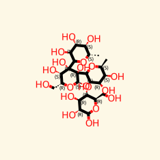 C[C@@H]1OC([C@]2(O)[C@H](O[C@H]3[C@H](O)[C@@H](O)C(O)O[C@@H]3CO)O[C@H](CO)[C@H](O)[C@@]2(O)C2O[C@@H](C)[C@@H](O)[C@@H](O)[C@@H]2O)[C@@H](O)[C@H](O)[C@@H]1O